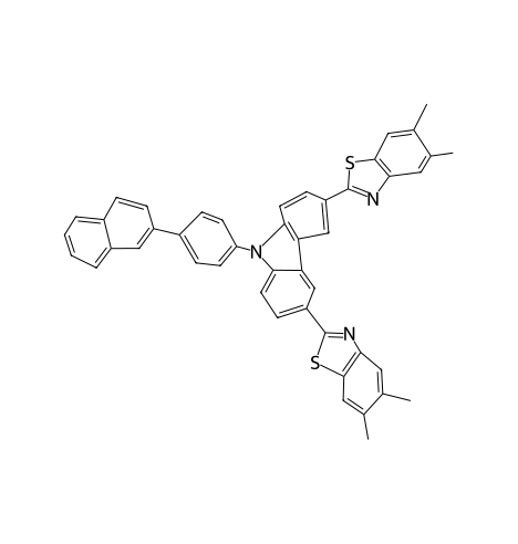 Cc1cc2nc(-c3ccc4c(c3)c3cc(-c5nc6cc(C)c(C)cc6s5)ccc3n4-c3ccc(-c4ccc5ccccc5c4)cc3)sc2cc1C